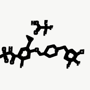 CS(=O)(=O)NC(=O)c1cc(C2CC2)c(OCC2CCN(Cc3cc(F)c(F)c(Cl)c3)CC2)cc1F.O=C(O)C(F)(F)F